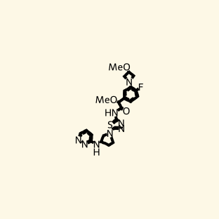 COC1CN(c2cc(C(OC)C(=O)Nc3nnc(N4CC[C@@H](Nc5cccnn5)C4)s3)ccc2F)C1